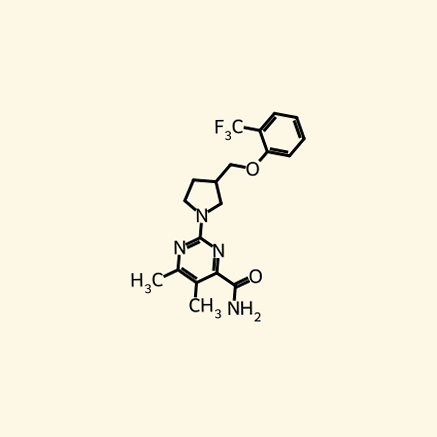 Cc1nc(N2CCC(COc3ccccc3C(F)(F)F)C2)nc(C(N)=O)c1C